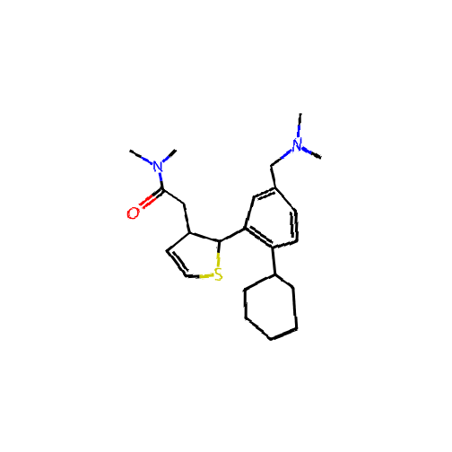 CN(C)Cc1ccc(C2CCCCC2)c(C2SC=CC2CC(=O)N(C)C)c1